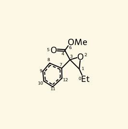 CCC1OC1(C(=O)OC)c1ccccc1